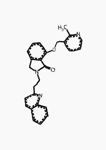 Cc1ncccc1COc1cccc2c1C(=O)N(CCc1ccc3ccccc3n1)C2